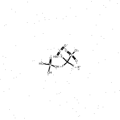 N=C=O.O=P(O)(O)O.O=S(=O)([O-])C(F)(F)F.[K+]